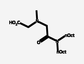 CCCCCCCCN(CCCCCCCC)C(=O)CN(C)CC(=O)O